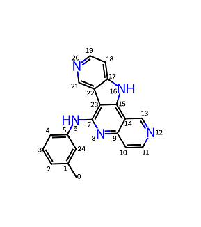 Cc1cccc(Nc2nc3ccncc3c3[nH]c4ccncc4c23)c1